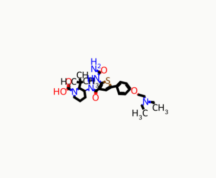 CCN(CC)CCOc1ccc(-c2cc(C(=O)N[C@H]3CCCN(C(=O)O)C3C(C)(C)C)c(NC(N)=O)s2)cc1